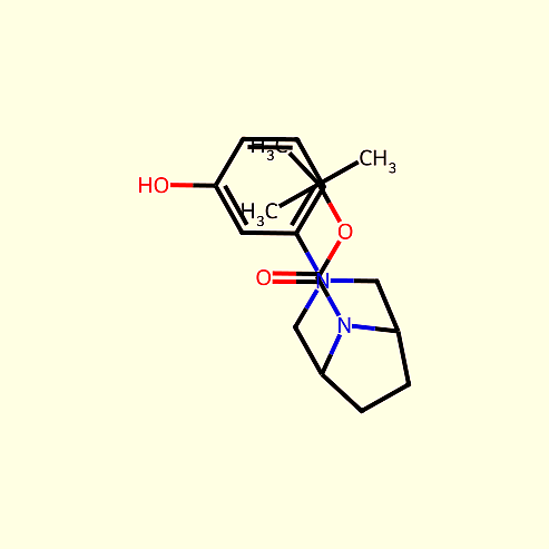 CC(C)(C)OC(=O)N1C2CCC1CN(c1cccc(O)c1)C2